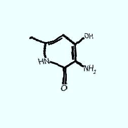 Cc1cc(O)c(N)c(=O)[nH]1